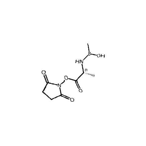 CB(O)N[C@H](C)C(=O)ON1C(=O)CCC1=O